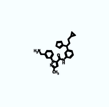 Cc1cc(C(=O)Nc2cccc(C(CCC3CC3)C3=CCC=C3)c2)n(-c2cccc(CN)c2)n1